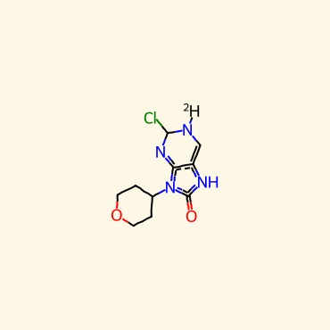 [2H]N1C=c2[nH]c(=O)n(C3CCOCC3)c2=NC1Cl